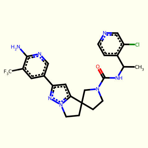 CC(NC(=O)N1CCC2(CCn3nc(-c4cnc(N)c(C(F)(F)F)c4)cc32)C1)c1ccncc1Cl